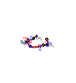 Cc1ncc(-c2ccc3nc(NC(=O)COCCOCCN4CCN(CC(=O)N[C@H](C(=O)N5C[C@H](O)C[C@H]5C(=O)NCc5ccc(-c6scnc6C)cc5)C(C)(C)C)CC4)sc3c2)cc1NC(=O)OC1CCCCC1